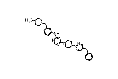 CN1CCN(Cc2cccc(Nc3ncnc(N4CCN(c5ncc(Cc6ccccc6)cn5)CC4)n3)c2)CC1